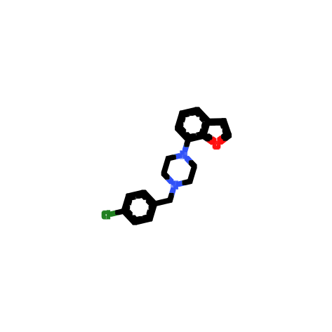 Clc1ccc(CN2CCN(c3cccc4ccoc34)CC2)cc1